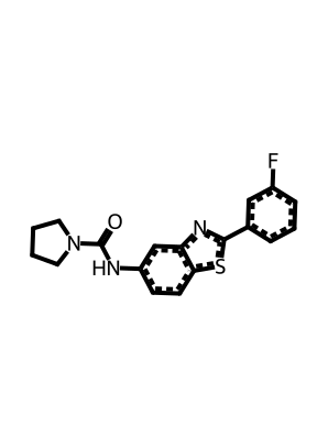 O=C(Nc1ccc2sc(-c3cccc(F)c3)nc2c1)N1CCCC1